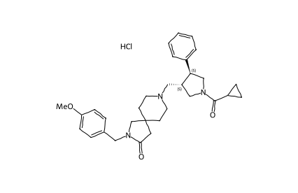 COc1ccc(CN2CC3(CCN(C[C@H]4CN(C(=O)C5CC5)C[C@@H]4c4ccccc4)CC3)CC2=O)cc1.Cl